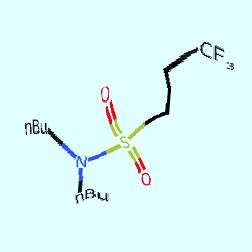 CCCCN(CCCC)S(=O)(=O)CCC(F)(F)F